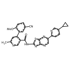 COc1ccc(C#N)cc1-c1cc(C)ncc1C(=O)Nc1nc2ncc(-c3ccc(C4CC4)cn3)nc2s1